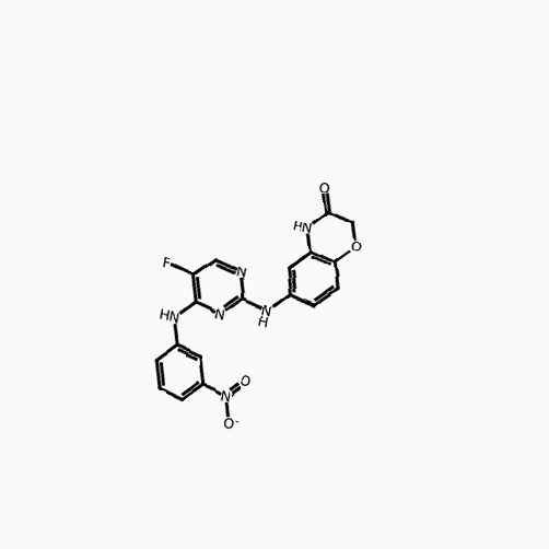 O=C1COc2ccc(Nc3ncc(F)c(Nc4cccc([N+](=O)[O-])c4)n3)cc2N1